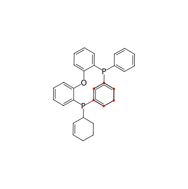 C1=CC(P(c2ccccc2)c2ccccc2Oc2ccccc2P(C2=CCCC=C2)C2C=CCCC2)=CCC1